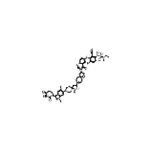 CCN(C)S(=O)(=O)Nc1ccc(F)c(Oc2ccc3ncn([C@H]4COC5(CCN(C(=O)CC6(O)CCN(c7cc8c(cc7F)c(N7CCC(=O)NC7=O)nn8C)CC6)CC5)C4)c(=O)c3c2)c1C#N